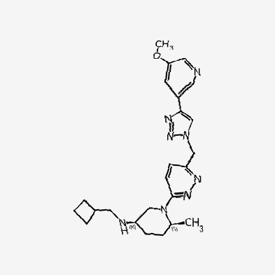 COc1cncc(-c2cn(Cc3ccc(N4C[C@H](NCC5CCC5)CC[C@@H]4C)nn3)nn2)c1